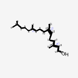 CC(C)=CCC/C(C)=C/CC/C(C)=C\CC/C(C)=C/CO